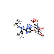 O=C(O)c1cnccc1Nc1nc(-c2nn(Cc3ccccc3F)c3c2CCC3)ncc1OCC1(CO)COC1